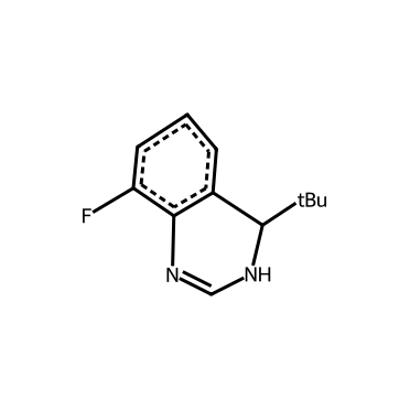 CC(C)(C)C1NC=Nc2c(F)cccc21